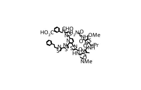 CNC(=O)C[C@H](NC(=O)c1csc(-c2ccc(-c3nc(N(C=O)Cc4cccc(C(=O)O)c4)cs3)nc2-c2csc(-c3csc(CCc4ccccc4)n3)n2)n1)c1nc(C(=O)NC(c2nc(C(=O)NCC(N)=O)c(COC)s2)C(C)C)c(C)s1